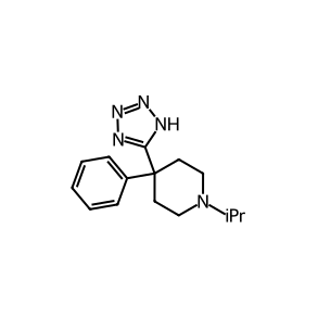 CC(C)N1CCC(c2ccccc2)(c2nnn[nH]2)CC1